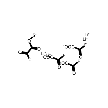 O=C(F)C(=O)O[S-].O=C([O-])C(=O)F.O=C([O-])C(=O)F.O=C([O-])C(=O)F.[Li+].[Li+].[Li+].[Li+]